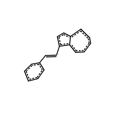 C(=C\c1ccc2cccccc1-2)/c1ccccc1